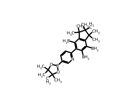 Bc1c(B)c2c(c(B)c1-c1ccc(B3OC(C)(C)C(C)(C)O3)cn1)C(C)(C)C(C)(C)C2(C)C